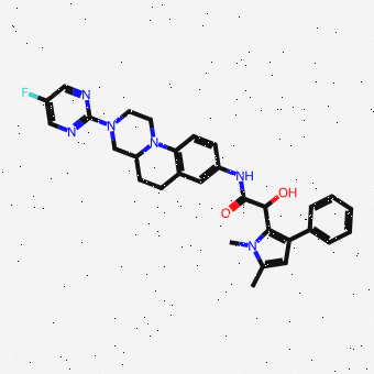 Cc1cc(-c2ccccc2)c(C(O)C(=O)Nc2ccc3c(c2)CCC2CN(c4ncc(F)cn4)CCN32)n1C